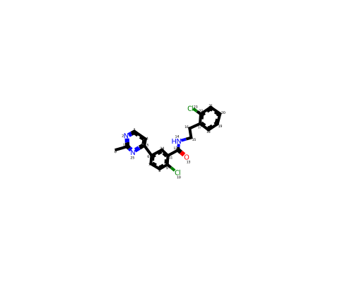 Cc1nccc(-c2ccc(Cl)c(C(=O)NCCc3ccccc3Cl)c2)n1